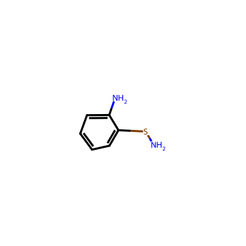 NSc1ccccc1N